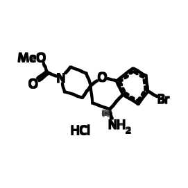 COC(=O)N1CCC2(CC1)C[C@H](N)c1cc(Br)ccc1O2.Cl